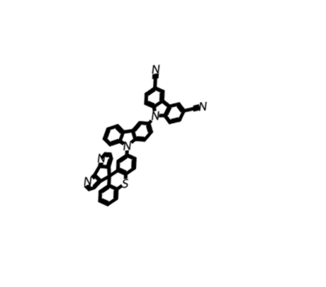 N#Cc1ccc2c(c1)c1cc(C#N)ccc1n2-c1ccc2c(c1)c1ccccc1n2-c1ccc2c(c1)C1(c3ccccc3S2)c2cccnc2-c2ncccc21